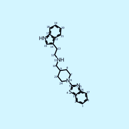 c1ccc2sc(N3CCC(CNCCc4c[nH]c5ccccc45)CC3)nc2c1